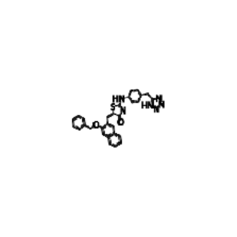 O=C1N=C(Nc2ccc(Cc3nnn[nH]3)cc2)S/C1=C/c1cc2ccccc2cc1OCc1ccccc1